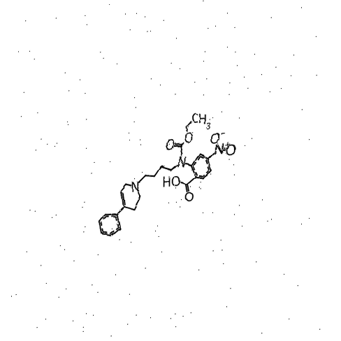 CCOC(=O)N(CCCCN1CC=C(c2ccccc2)CC1)c1cc([N+](=O)[O-])ccc1C(=O)O